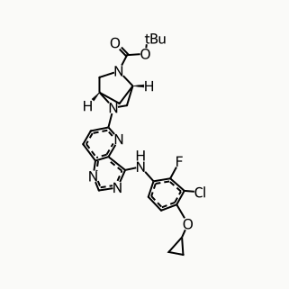 CC(C)(C)OC(=O)N1C[C@@H]2C[C@H]1CN2c1ccc2ncnc(Nc3ccc(OC4CC4)c(Cl)c3F)c2n1